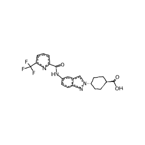 O=C(Nc1ccc2nn([C@H]3CC[C@H](C(=O)O)CC3)cc2c1)c1cccc(C(F)(F)F)n1